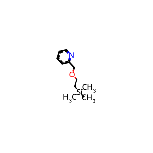 C[Si](C)(C)CCOCc1ccccn1